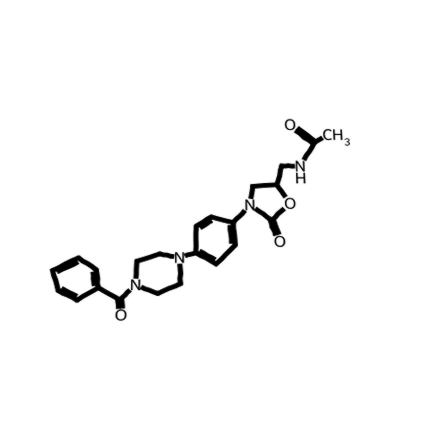 CC(=O)NCC1CN(c2ccc(N3CCN(C(=O)c4ccccc4)CC3)cc2)C(=O)O1